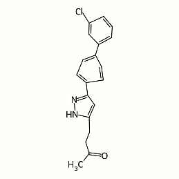 CC(=O)CCc1cc(-c2ccc(-c3cccc(Cl)c3)cc2)n[nH]1